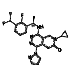 C[C@@H](Nc1nnc(-n2cccn2)c2cc(=O)n(C3CC3)cc12)c1cccc(C(F)F)c1F